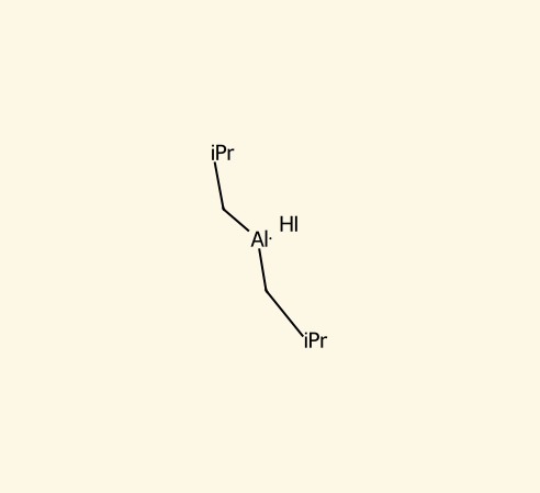 CC(C)[CH2][Al][CH2]C(C)C.I